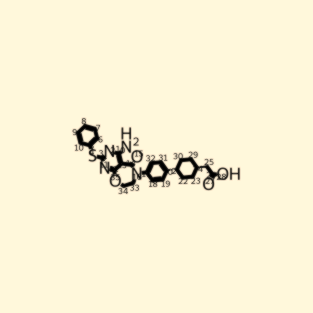 Nc1nc(Sc2ccccc2)nc2c1C(=O)N(c1ccc([C@H]3CC[C@H](CC(=O)O)CC3)cc1)CCO2